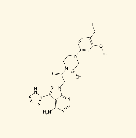 CCOc1cc(N2CCN(C(=O)Cn3nc(-c4ncc[nH]4)c4c(N)ncnc43)[C@@H](C)C2)ccc1CI